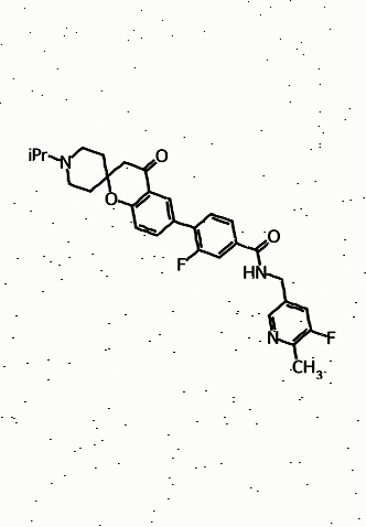 Cc1ncc(CNC(=O)c2ccc(-c3ccc4c(c3)C(=O)CC3(CCN(C(C)C)CC3)O4)c(F)c2)cc1F